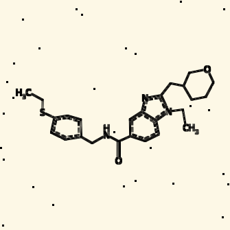 CCSc1ccc(CNC(=O)c2ccc3c(c2)nc(CC2CCCOC2)n3CC)cc1